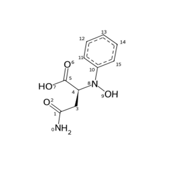 NC(=O)C[C@@H](C(=O)O)N(O)c1ccccc1